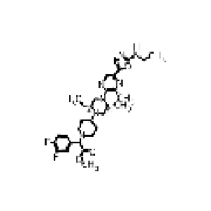 CCNc1nnc(-c2cnc(N3C[C@H](CC)N(C4CCN(C(C(=O)OC)c5ccc(F)c(F)c5)CC4)C[C@H]3C)c(C)n2)o1